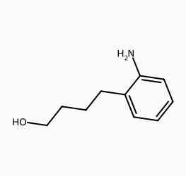 Nc1ccccc1CCCCO